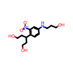 O=[N+]([O-])c1cc(NCCCO)ccc1C(CCO)CCO